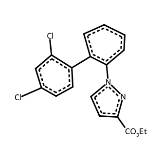 CCOC(=O)c1ccn(-c2ccccc2-c2ccc(Cl)cc2Cl)n1